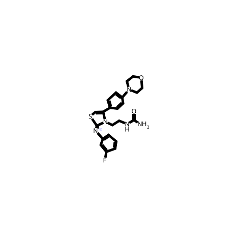 NC(=O)NCCn1c(-c2ccc(N3CCOCC3)cc2)cs/c1=N/c1cccc(F)c1